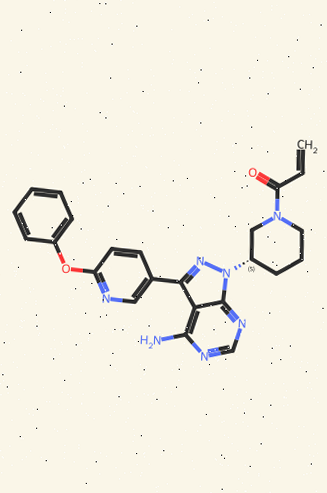 C=CC(=O)N1CCC[C@H](n2nc(-c3ccc(Oc4ccccc4)nc3)c3c(N)ncnc32)C1